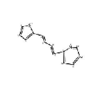 C(C=Cc1cccs1)=Cc1ccccn1